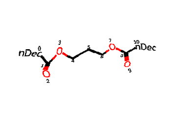 CCCCCCCCCCC(=O)OCCCOC(=O)CCCCCCCCCC